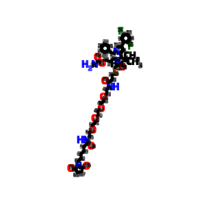 CC(C)(C)[C@H](c1cc(-c2cc(F)ccc2F)cn1Cc1ccccc1)N(CCCOC(N)=O)C(=O)CSCCC(=O)NCCOCCOCCOCCOCCNC(=O)CCCCCN1C(=O)C=CC1=O